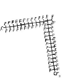 FC(F)C(F)(C(F)(F)C(F)(F)C(F)(F)C(F)(F)C(F)(F)C(F)(F)C(F)(F)C(F)(F)C(F)(F)C(F)(F)C(F)(F)C(F)(F)F)C(F)(F)C(F)(F)C(F)(F)C(F)(F)C(F)(F)C(F)(F)C(F)(F)C(F)(F)C(F)(F)C(F)(F)C(F)(F)C(F)(F)C(F)(F)C(F)(F)F